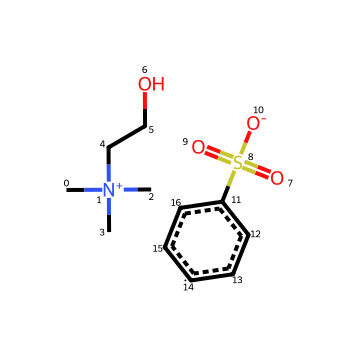 C[N+](C)(C)CCO.O=S(=O)([O-])c1cc[c]cc1